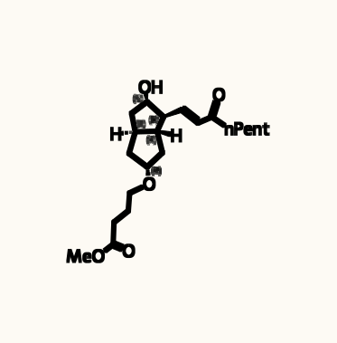 CCCCCC(=O)C=C[C@H]1[C@@H]2C[C@H](OCCCC(=O)OC)C[C@H]2C[C@@H]1O